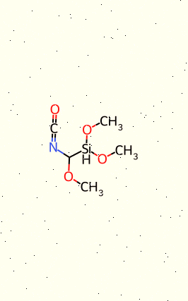 COC(N=C=O)[SiH](OC)OC